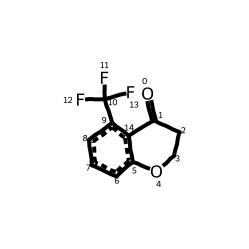 O=C1CCOc2cccc(C(F)(F)F)c21